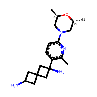 CC[C@@H]1CN(c2ccc(C3(N)CC4(CC(N)C4)C3)c(C)n2)C[C@@H](C)O1